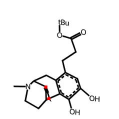 CN1CCC23CCC=CC2C1Cc1c(CCC(=O)OC(C)(C)C)cc(O)c(O)c13